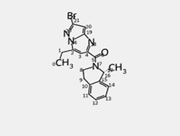 CCc1cc(C(=O)N2CCc3ccccc3[C@H]2C)nc2cc(Br)nn12